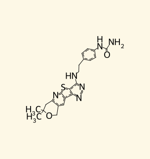 CC1(C)Cc2nc3sc4c(NCCc5ccc(NC(N)=O)cc5)ncnc4c3cc2CO1